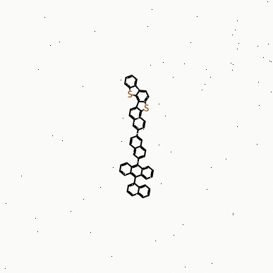 c1ccc2c(-c3c4ccccc4c(-c4ccc5cc(-c6ccc7c(ccc8c7sc7ccc9c%10ccccc%10sc9c78)c6)ccc5c4)c4ccccc34)cccc2c1